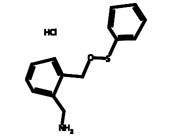 Cl.NCc1ccccc1COSc1ccccc1